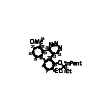 CCCCCC(CC)(CC)Oc1ccccc1-c1cnnnc1-c1ccccc1OC